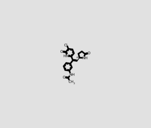 CC(=O)Nc1cccc(C(=C[C@H]2CCC(=O)N2)c2ccc(Cl)c(=O)[nH]2)c1